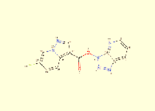 O=C(On1nnc2cccnc21)c1cnn2cc(F)ccc12